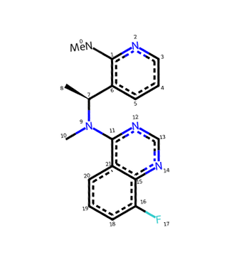 CNc1ncccc1[C@H](C)N(C)c1ncnc2c(F)cccc12